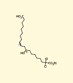 CCOC(=O)C(Cl)(Cl)CCCCCC[C@@H](O)C/C=C\CCCCCCCC(=O)O